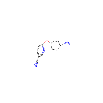 N#Cc1ccc(OC2CCC(N)CC2)nc1